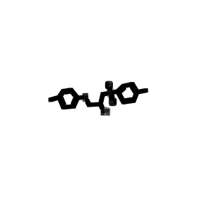 CCC(CSc1ccc(C)cc1)CS(=O)(=O)c1ccc(C)cc1